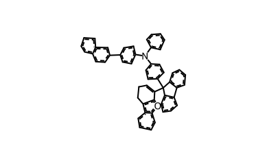 C1=C(C2(c3ccc(N(c4ccccc4)c4ccc(-c5ccc6ccccc6c5)cc4)cc3)c3ccccc3-c3ccccc32)c2oc3ccccc3c2CC1